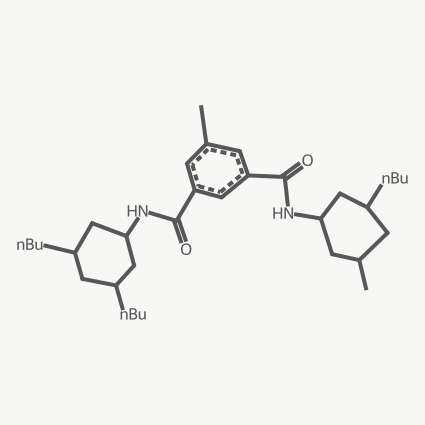 CCCCC1CC(C)CC(NC(=O)c2cc(C)cc(C(=O)NC3CC(CCCC)CC(CCCC)C3)c2)C1